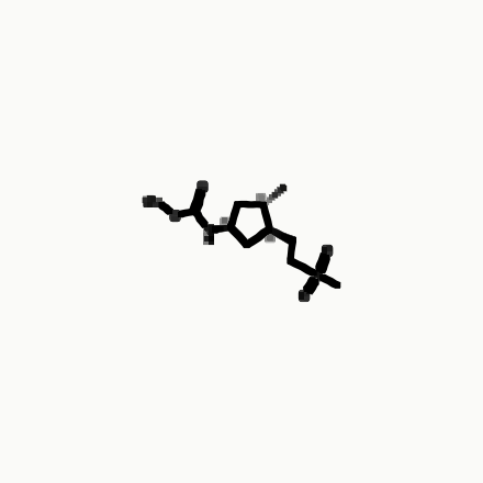 C[C@H]1C[C@H](NC(=O)OC(C)(C)C)C[C@@H]1CCS(C)(=O)=O